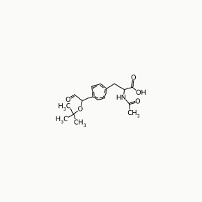 CC(=O)NC(Cc1ccc(C(C=O)OC(C)(C)C)cc1)C(=O)O